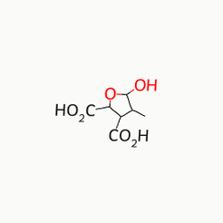 CC1C(O)OC(C(=O)O)C1C(=O)O